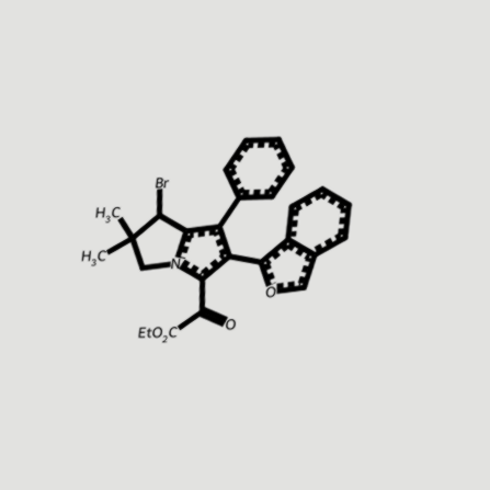 CCOC(=O)C(=O)c1c(-c2occ3ccccc23)c(-c2ccccc2)c2n1CC(C)(C)C2Br